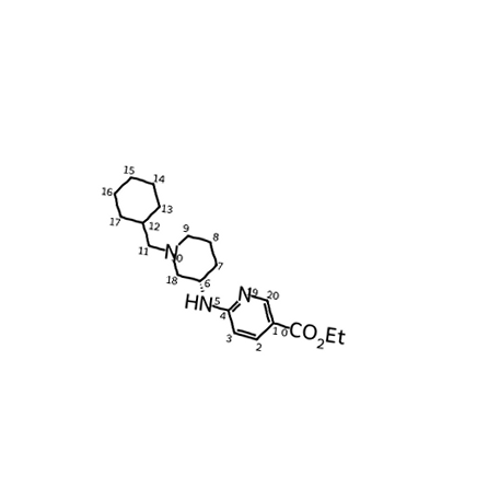 CCOC(=O)c1ccc(N[C@H]2CCCN(CC3CCCCC3)C2)nc1